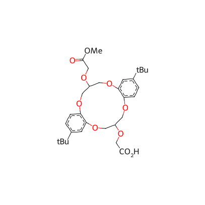 COC(=O)COC1COc2ccc(C(C)(C)C)cc2OCC(OCC(=O)O)COc2ccc(C(C)(C)C)cc2OC1